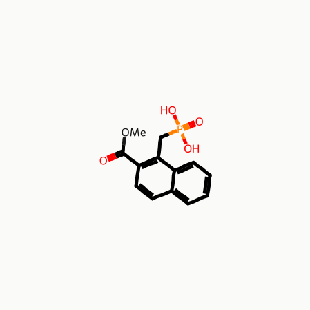 COC(=O)c1ccc2ccccc2c1CP(=O)(O)O